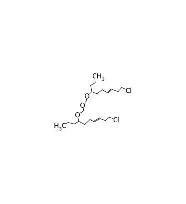 CCCC(CCC=CCCCl)OCOCOC(CCC)CCC=CCCCl